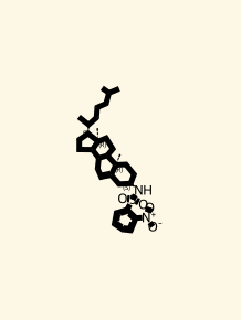 CC(C)CCCC(C)[C@H]1CCC2C3CC=C4C[C@@H](NS(=O)(=O)c5ccccc5[N+](=O)[O-])CC[C@]4(C)C3CC[C@@]21C